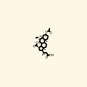 CC[C@H]1[C@@H](OC(C)=O)C2C3CCC([C@H](C)CC(=O)O)[C@@]3(C)CCC2[C@@]2(C)CC[C@@H](OC(C)=O)C[C@@H]12